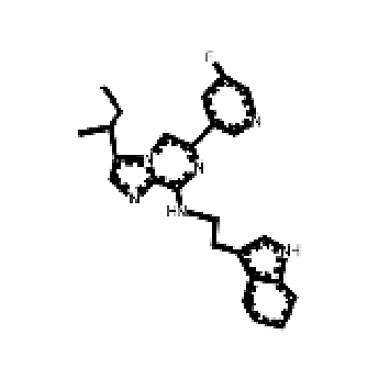 CCC(C)c1cnc2c(NCCc3c[nH]c4ccccc34)nc(-c3cncc(F)c3)cn12